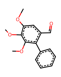 COc1cc(C=O)c(-c2ccccc2)c(OC)c1OC